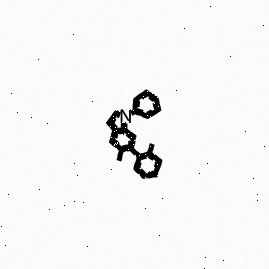 Cc1ccccc1-c1cc2c(ccn2-c2ccccc2)cc1C